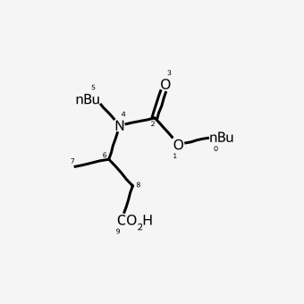 CCCCOC(=O)N(CCCC)C(C)CC(=O)O